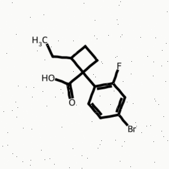 CCC1CCC1(C(=O)O)c1ccc(Br)cc1F